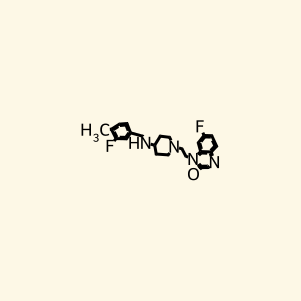 Cc1ccc(CNC2CCN(CCn3c(=O)cnc4ccc(F)cc43)CC2)cc1F